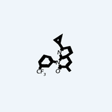 Cc1cc2ccc(C3CC3)nc2n(-c2cccc(C(F)(F)F)c2)c1=O